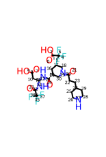 O=C(O)C(F)(F)F.O=C(O)C[C@@H](NC(=O)[C@@H]1CCCN(C(=O)CCC2CCNCC2)C1)NC(=O)C(F)(F)F